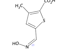 Cc1cc(/C=N\O)sc1C(=O)O